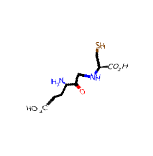 N[C@@H](CCC(=O)O)C(=O)CN[C@@H](CS)C(=O)O